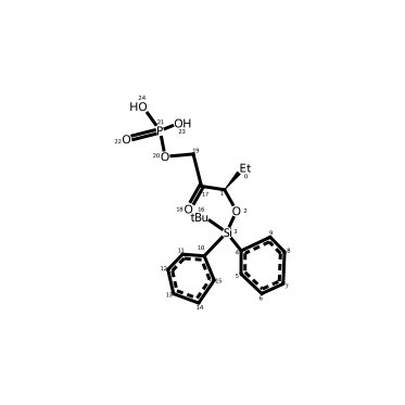 CC[C@@H](O[Si](c1ccccc1)(c1ccccc1)C(C)(C)C)C(=O)COP(=O)(O)O